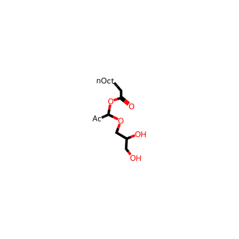 CCCCCCCCCC(=O)OC(OCC(O)CO)C(C)=O